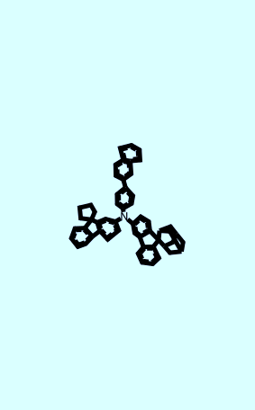 c1ccc2c(c1)-c1ccc(N(c3ccc(-c4ccc5ccccc5c4)cc3)c3ccc4c(c3)-c3ccccc3C43C4CC5CC(C4)CC3C5)cc1C21CCCC1